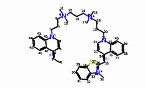 C/C=C1\C=CN(CCC[N+](C)(C)CCC[N+](C)(C)CCCN2C=C/C(=C\c3sc4ccccc4[n+]3C)c3ccccc32)c2ccccc21